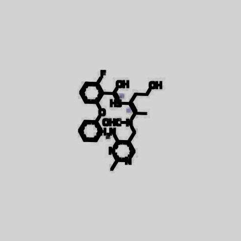 C/C(=C(CCO)/[SH]=C(\O)c1c(F)cccc1Oc1ccccc1)N(C=O)Cc1cnc(C)nc1N